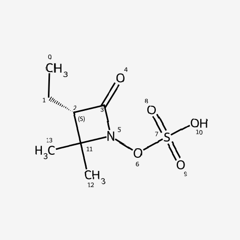 CC[C@@H]1C(=O)N(OS(=O)(=O)O)C1(C)C